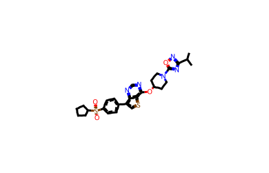 CC(C)c1noc(N2CCC(Oc3ncnc4c(-c5ccc(S(=O)(=O)C6CCCC6)cc5)csc34)CC2)n1